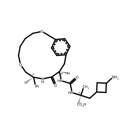 CC(C)[C@H]1COCCCCOc2ccc(cc2)C[C@@H](NC(=O)N[C@@](C)(CC2CC(N)C2)C(=O)O)C(=O)N1